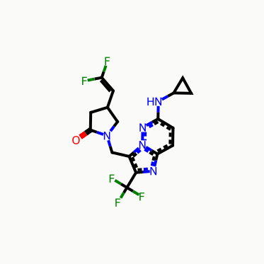 O=C1CC(C=C(F)F)CN1Cc1c(C(F)(F)F)nc2ccc(NC3CC3)nn12